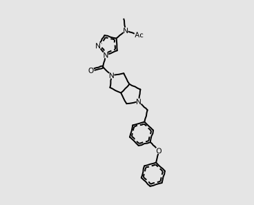 CC(=O)N(C)c1cnn(C(=O)N2CC3CN(Cc4cccc(Oc5ccccc5)c4)CC3C2)c1